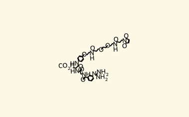 NC(N)=Nc1cccc(C(=O)NCC(=O)NC(CC(=O)O)C(=O)Nc2ccc(OCCNC(=O)CCOCCOCCNC(=O)CCN3C(=O)C=CC3=O)cc2)c1